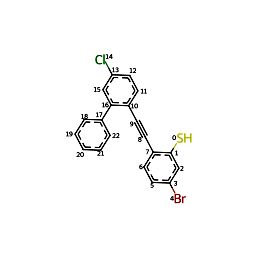 Sc1cc(Br)ccc1C#Cc1ccc(Cl)cc1-c1ccccc1